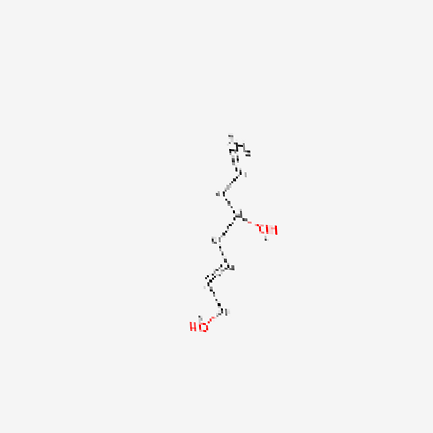 C=CCC(O)CC=CCO